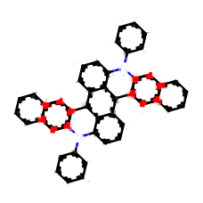 c1ccc(N(c2ccccc2)c2cccc3c(-c4ccc5ccccc5c4)c4c(N(c5ccccc5)c5ccccc5)cccc4c(-c4ccc5ccccc5c4)c23)cc1